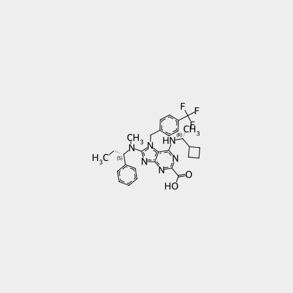 CC[C@@H](c1ccccc1)N(C)c1nc2nc(C(=O)O)nc(N[C@H](C)C3CCC3)c2n1Cc1ccc(C(F)(F)F)cc1